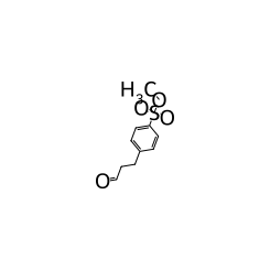 COS(=O)(=O)c1ccc(CCC=O)cc1